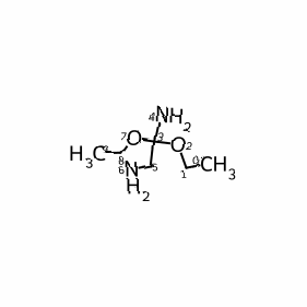 CCOC(N)(CN)OCC